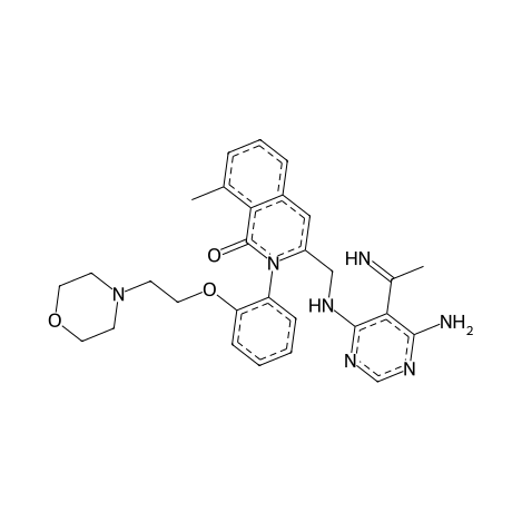 CC(=N)c1c(N)ncnc1NCc1cc2cccc(C)c2c(=O)n1-c1ccccc1OCCN1CCOCC1